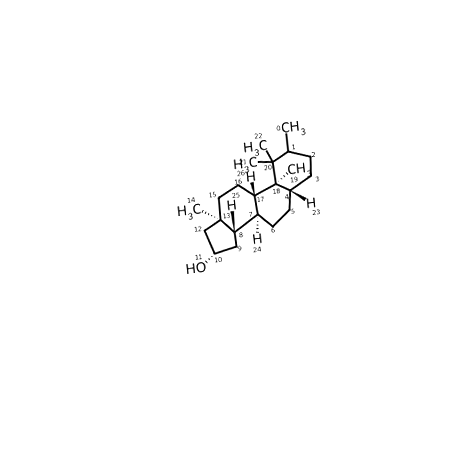 CC1CC[C@@H]2CC[C@H]3[C@@H]4C[C@H](O)C[C@@]4(C)CC[C@@H]3[C@@]2(C)C1(C)C